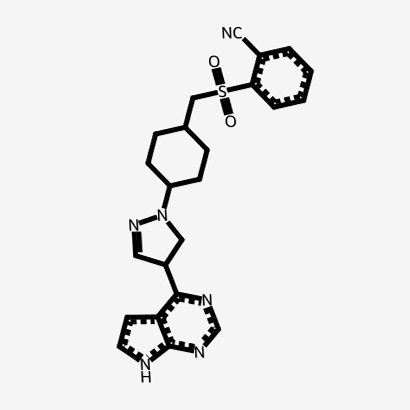 N#Cc1ccccc1S(=O)(=O)CC1CCC(N2CC(c3ncnc4[nH]ccc34)C=N2)CC1